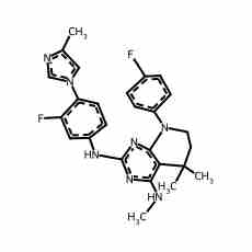 CNc1nc(Nc2ccc(-n3cnc(C)c3)c(F)c2)nc2c1C(C)(C)CCN2c1ccc(F)cc1